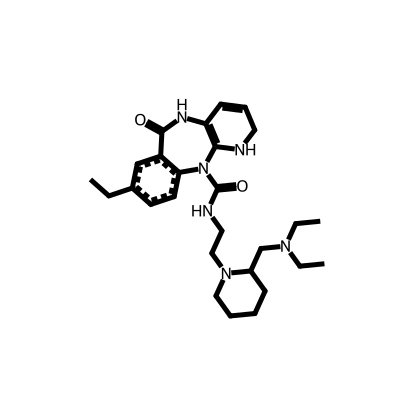 CCc1ccc2c(c1)C(=O)NC1=C(NCC=C1)N2C(=O)NCCN1CCCCC1CN(CC)CC